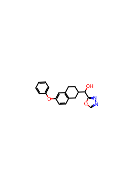 OC(c1nnco1)C1CCc2cc(Oc3ccccc3)ccc2C1